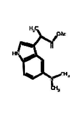 CC(=O)ONC(C)c1c[nH]c2ccc(N(C)C)cc12